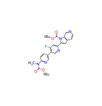 CN(C(=O)OC(C)(C)C)c1ccc(-c2cnc(-c3cc4ccncc4n3C(=O)OC(C)(C)C)cc2F)cn1